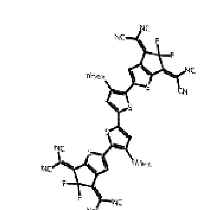 [C-]#[N+]/C(C#N)=C1\c2sc(-c3sc(-c4cc(CCCCCC)c(-c5cc6c(s5)/C(=C(\C#N)[N+]#[C-])C(F)(F)/C6=C(/C#N)[N+]#[C-])s4)cc3CCCCCC)cc2/C(=C(/C#N)[N+]#[C-])C1(F)F